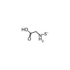 O=C(O)C[NH2+][S-]